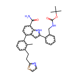 Cc1c(CCc2nccs2)cccc1-c1ccc(C(N)=O)c2[nH]c(-c3ccccc3CNC(=O)OC(C)(C)C)cc12